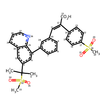 CC(C)(c1cc(-c2cccc(C=C(C(=O)O)c3ccc(S(C)(=O)=O)cc3)c2)c2ncccc2c1)S(C)(=O)=O